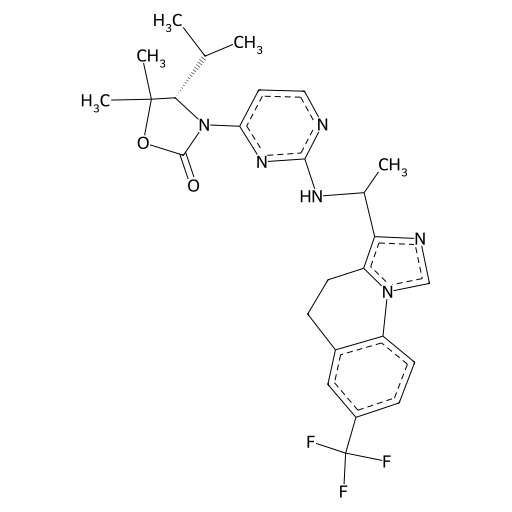 CC(Nc1nccc(N2C(=O)OC(C)(C)[C@@H]2C(C)C)n1)c1ncn2c1CCc1cc(C(F)(F)F)ccc1-2